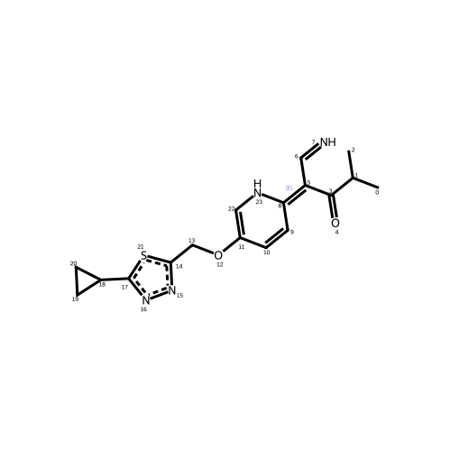 CC(C)C(=O)/C(C=N)=C1\C=CC(OCc2nnc(C3CC3)s2)=CN1